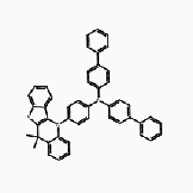 CC1(C)c2ccccc2N(c2ccc(N(c3ccc(-c4ccccc4)cc3)c3ccc(-c4ccccc4)cc3)cc2)c2c1sc1ccccc21